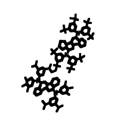 Cc1cc(N(c2cc(C(C)C)cc(C(C)C)c2)c2cc3c4ccccc4c(N(c4cc(C(C)C)cc(C(C)CCC(C)(C)c5cc(N(c6cc(C(C)(C)C)cc(C(C)(C)C)c6)c6cc7c8ccccc8c(N(c8cc(C(C)(C)C)cc(C(C)(C)C)c8)c8cc(C(C)(C)C)cc(C(C)(C)C)c8)cc7c7ccccc67)cc(C(C)(C)C)c5)c4)c4cc(C)c(C)c(C)c4)cc3c3ccccc23)cc(C)c1C